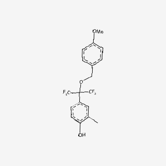 COc1ccc(COC(c2ccc(O)c(C)c2)(C(F)(F)F)C(F)(F)F)cc1